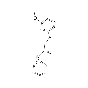 COc1cccc(OCC(=O)Nc2ccccc2)c1